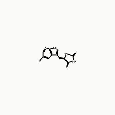 O=C1NC(=S)NC1=Cc1c[nH]c2ncc(Cl)cc12